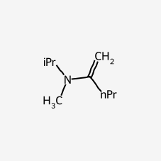 C=C(CCC)N(C)C(C)C